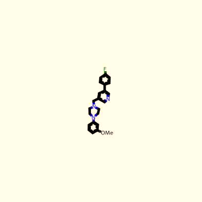 COc1cccc(N2CCN(Cc3cncc(-c4ccc(F)cc4)c3)CC2)c1